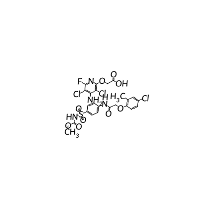 COC(=O)NS(=O)(=O)c1ccc(NC(=O)COc2ccc(Cl)cc2C)cc1.Nc1c(Cl)c(F)nc(OCC(=O)O)c1Cl